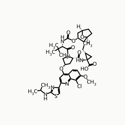 CC[C@@H]1C[C@]1(NC(=O)[C@@H]1C[C@@H](Oc2cc(-c3csc(NC(C)C)n3)nc3c(Cl)c(OC)ccc23)CN1C(=O)[C@@H](NC(=O)O[C@H]1C[C@H]2CC[C@@H](C1)O2)C(C)(C)C)C(=O)O